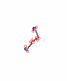 O=C(CCCCCN1C(=O)C=CC1=O)OC(=O)CCC(=O)OC(=O)CCCCCN1C(=O)C=CC1=O